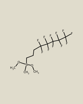 CO[Si](C)(CCCC(F)(F)C(F)(F)C(F)(F)C(F)(F)C(F)(F)F)OC